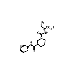 CC(C)C[C@H](NC(=O)N1CCCC(C(=O)Nc2cnccn2)C1)C(=O)O